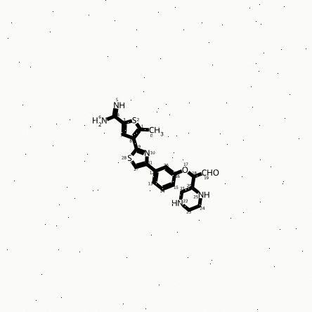 Cc1sc(C(=N)N)cc1-c1nc(-c2cccc(OC(C=O)C3CNCCN3)c2)cs1